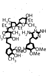 CC[C@@H](C(=O)[C@@H](C)[C@@H](O)[C@H](C)CCc1ccc(C)c(O)c1C(=O)O)[C@H]1O[C@](CC)([C@H]2CC[C@](O)(CC)[C@H](C)O2)C[C@@H]1C.COc1cc(Cc2cnc(N)nc2N)cc(OC)c1OC